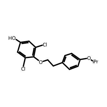 CC(C)Oc1ccc(CCOc2c(Cl)cc(O)cc2Cl)cc1